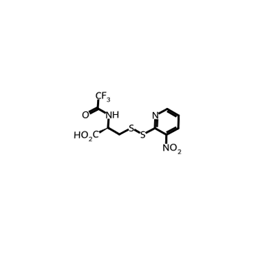 O=C(O)[C@H](CSSc1ncccc1[N+](=O)[O-])NC(=O)C(F)(F)F